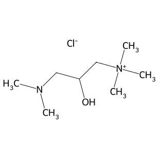 CN(C)CC(O)C[N+](C)(C)C.[Cl-]